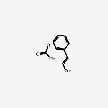 CC(=O)[O-].[Zn+][CH]=Cc1ccccc1